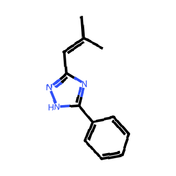 CC(C)=Cc1n[nH]c(-c2ccccc2)n1